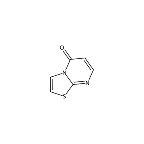 O=c1[c]cnc2sccn12